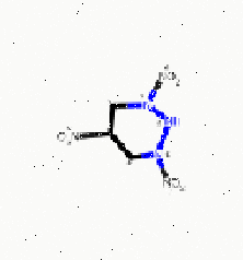 O=[N+]([O-])C1CN([N+](=O)[O-])NN([N+](=O)[O-])C1